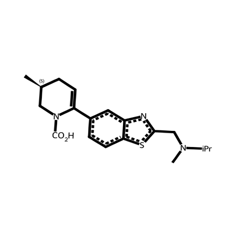 CC(C)N(C)Cc1nc2cc(C3=CC[C@H](C)CN3C(=O)O)ccc2s1